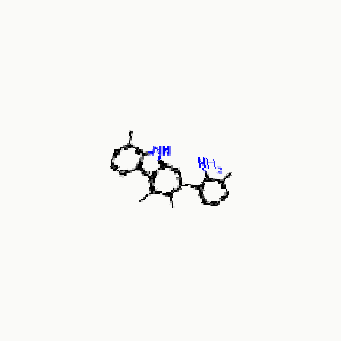 Cc1cccc(-c2cc3[nH]c4c(C)cccc4c3c(C)c2C)c1N